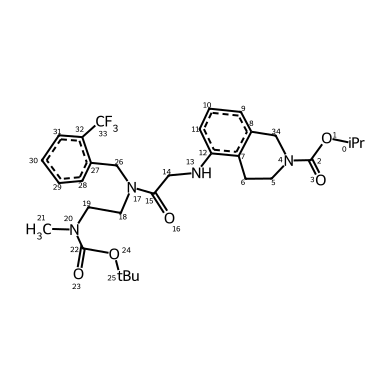 CC(C)OC(=O)N1CCc2c(cccc2NCC(=O)N(CCN(C)C(=O)OC(C)(C)C)Cc2ccccc2C(F)(F)F)C1